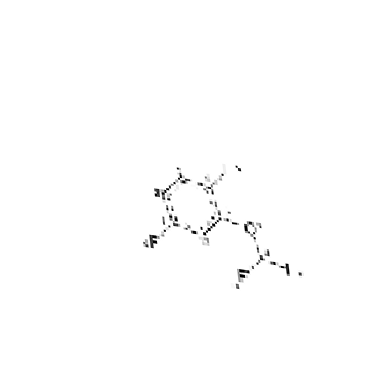 Fc1[c]cc(F)c(OC(F)F)c1